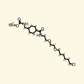 CC(C)(C)OC(=O)NCC1CCC(C(=O)NCCOCCOCCCCCCCl)CC1